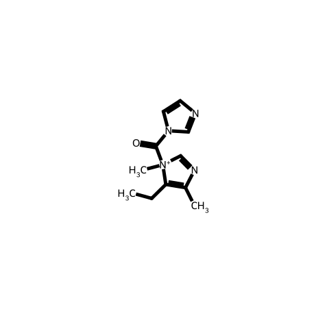 CCC1=C(C)N=C[N+]1(C)C(=O)n1ccnc1